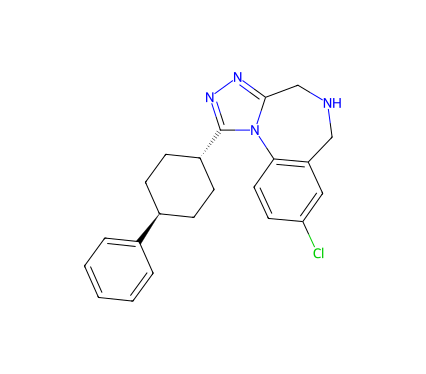 Clc1ccc2c(c1)CNCc1nnc([C@H]3CC[C@H](c4ccccc4)CC3)n1-2